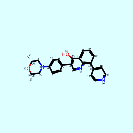 C[C@@H]1CN(c2ccc(-c3cnc4c(-c5ccncc5)cccc4c3O)cc2)C[C@H](C)O1